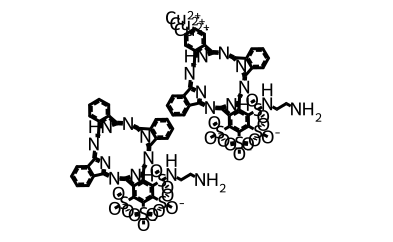 NCCNS(=O)(=O)c1c(S(=O)(=O)[O-])c(S(=O)(=O)[O-])c(S(=O)(=O)[O-])c2c3nc4nc(nc5[nH]c(nc6nc(nc([nH]3)c12)-c1ccccc1-6)c1ccccc51)-c1ccccc1-4.NCCNS(=O)(=O)c1c(S(=O)(=O)[O-])c(S(=O)(=O)[O-])c(S(=O)(=O)[O-])c2c3nc4nc(nc5[nH]c(nc6nc(nc([nH]3)c12)-c1ccccc1-6)c1ccccc51)-c1ccccc1-4.[Cu+2].[Cu+2].[Cu+2]